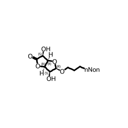 CCCCCCCCCCCCO[C@@H]1O[C@H]2[C@H](OC(=O)[C@H]2O)[C@@H]1O